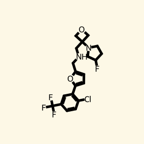 FC1CCN(C2(CNCc3ccc(-c4cc(C(F)(F)F)ccc4Cl)o3)COC2)C1